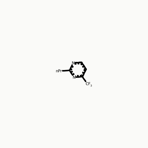 CCCc1n[c]cc(C(F)(F)F)n1